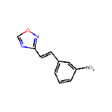 O=[N+]([O-])c1cccc(/C=C/c2ncon2)c1